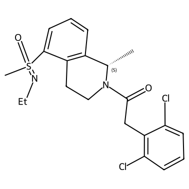 CCN=S(C)(=O)c1cccc2c1CCN(C(=O)Cc1c(Cl)cccc1Cl)[C@H]2C